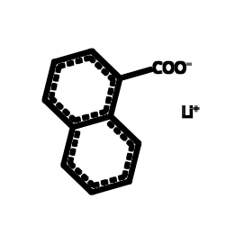 O=C([O-])c1cccc2ccccc12.[Li+]